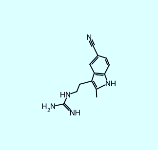 Cc1[nH]c2ccc(C#N)cc2c1CCNC(=N)N